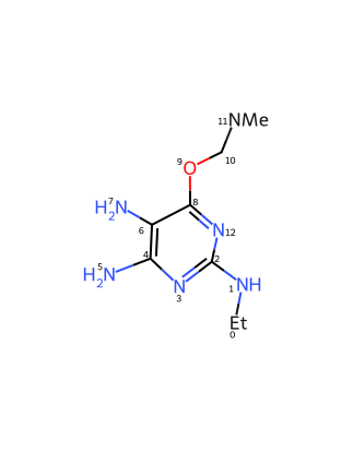 CCNc1nc(N)c(N)c(OCNC)n1